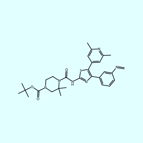 C=Nc1cccc(-c2nc(NC(=O)N3CCN(C(=O)OC(C)(C)C)CC3(C)C)sc2-c2cc(C)nc(C)c2)c1